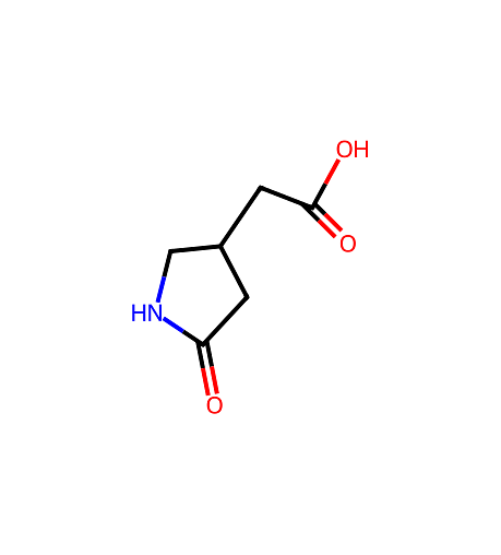 O=C(O)CC1CNC(=O)C1